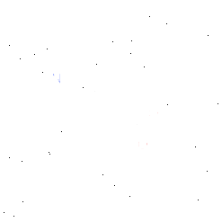 CC(C)(C#N)CCC1OCCO1